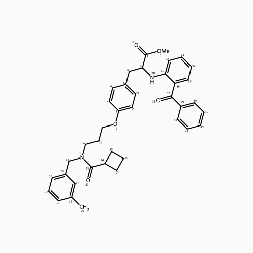 COC(=O)C(Cc1ccc(OCCCN(Cc2cccc(C)c2)C(=O)C2CCC2)cc1)Nc1ccccc1C(=O)c1ccccc1